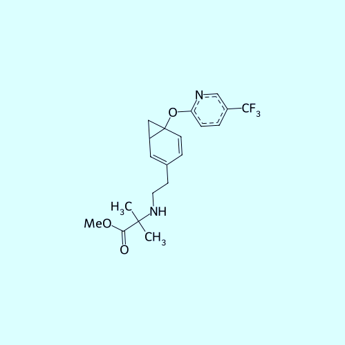 COC(=O)C(C)(C)NCCC1=CC2CC2(Oc2ccc(C(F)(F)F)cn2)C=C1